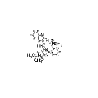 CC(C)N1Cc2c(NCc3cnc4ccccc4c3)nc(N3CCCCC3CN(C)C)nc2C1=O